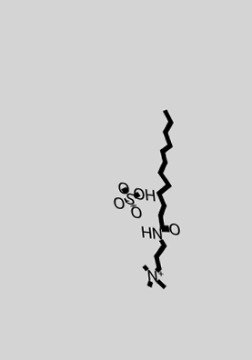 CCCCCCCCCCCC(=O)NCCC[N+](C)(C)C.O=S(=O)([O-])O